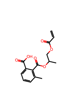 C=CC(=O)OCC(C)OC(=O)c1c(C)cccc1C(=O)O